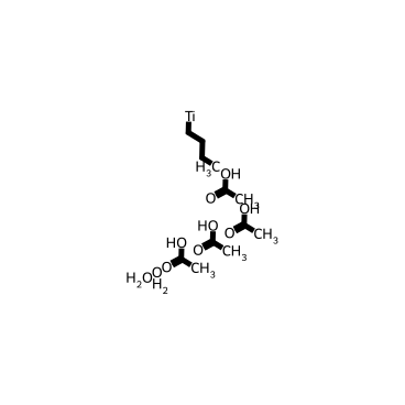 CC(=O)O.CC(=O)O.CC(=O)O.CC(=O)O.CCC[CH2][Ti].O.O